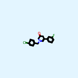 O=C1CC(c2cccc(F)c2)=CN(Cc2ccc(Cl)cc2)C1